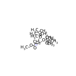 CCOC(=O)/C(C)=C/C(CO[Si](C)(C)C(C)(C)C)CO[Si](C)(C)C(C)(C)C